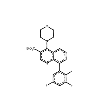 CCOC(=O)c1cnc2c(-c3cc(F)cc(F)c3F)cccc2c1N1CCOCC1